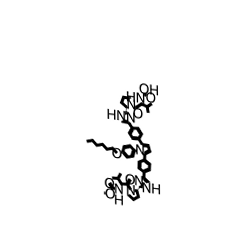 CCCCCCOc1ccc(-n2c(-c3ccc(-c4c[nH]c([C@@H]5CCCN5C(=O)[C@@H](NC(=O)O)C(C)C)n4)cc3)ccc2-c2ccc(-c3c[nH]c([C@@H]4CCCN4C(=O)[C@@H](NC(=O)OC)C(C)C)n3)cc2)cc1